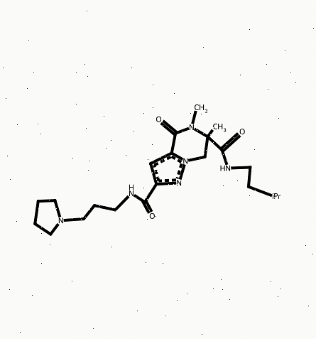 CC(C)CCNC(=O)C1(C)Cn2nc(C(=O)NCCCN3CCCC3)cc2C(=O)N1C